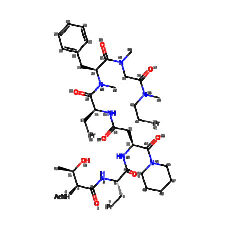 CC(=O)N[C@H](C(=O)N[C@@H](CC(C)C)C(=O)N[C@@H](CC(=O)N[C@@H](CC(C)C)C(=O)N(C)[C@@H](Cc1ccccc1)C(=O)N(C)CC(=O)N(C)CCC(C)C)C(=O)N1CCCCC1)[C@@H](C)O